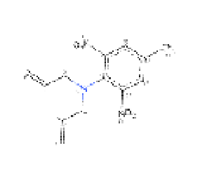 C=CCN(CC=C)c1c([N+](=O)[O-])cc(C(F)(F)F)cc1[N+](=O)[O-]